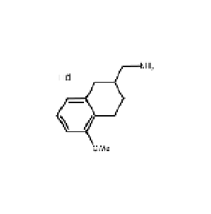 COc1cccc2c1CCC(CN)C2.Cl